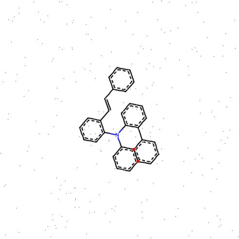 C(=C\c1ccccc1N(c1ccccc1)c1ccccc1-c1ccccc1)/c1ccccc1